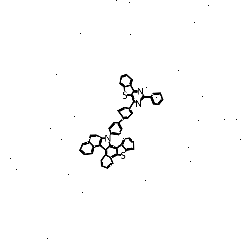 c1ccc(-c2nc(-c3ccc(-c4ccc(-n5c6ccc7ccccc7c6c6c7ccccc7c7sc8ccccc8c7c65)cc4)cc3)c3sc4ccccc4c3n2)cc1